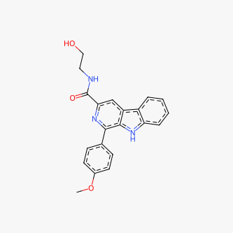 COc1ccc(-c2nc(C(=O)NCCO)cc3c2[nH]c2ccccc23)cc1